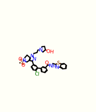 CS(=O)(=O)N1CCc2c(c(-c3ccc(Cl)c(-c4cccc(C(=O)NCc5nc6ccccc6s5)c4)c3)nn2CCCN2CCC(O)C2)C1